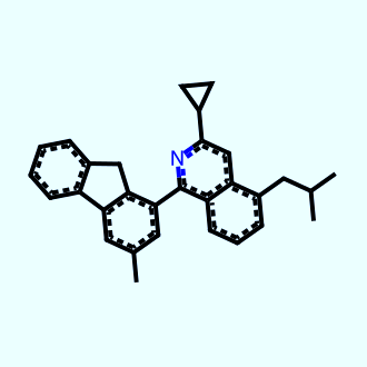 Cc1cc2c(c(-c3nc(C4CC4)cc4c(CC(C)C)cccc34)c1)Cc1ccccc1-2